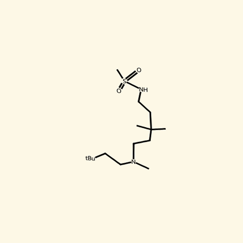 CN(CCC(C)(C)C)CCC(C)(C)CCNS(C)(=O)=O